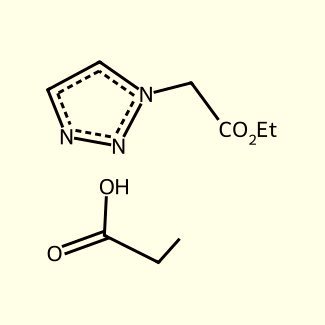 CCC(=O)O.CCOC(=O)Cn1ccnn1